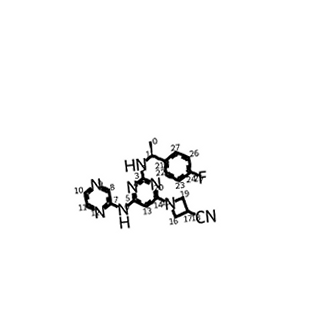 C[C@H](Nc1nc(Nc2cnccn2)cc(N2CC(C#N)C2)n1)c1ccc(F)cc1